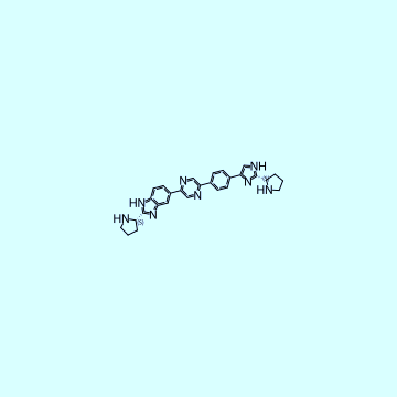 c1cc(-c2c[nH]c([C@@H]3CCCN3)n2)ccc1-c1cnc(-c2ccc3[nH]c([C@@H]4CCCN4)nc3c2)cn1